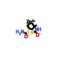 CC1(NC([O-])=S)CCCCC1.NC([O-])=S.[Zn+2]